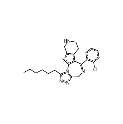 CCCCCCc1nnc2n1-c1sc3c(c1C(c1ccccc1Cl)=NC2)CCNC3